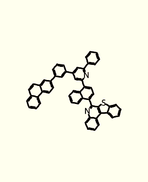 c1ccc(-c2cc(-c3cccc(-c4ccc5c(ccc6ccccc65)c4)c3)cc(-c3ccc(-c4nc5ccccc5c5c4sc4ccccc45)c4ccccc34)n2)cc1